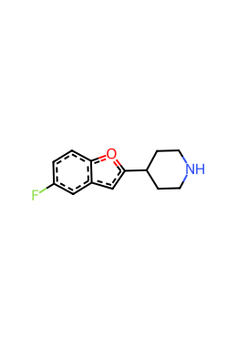 Fc1ccc2oc(C3CCNCC3)cc2c1